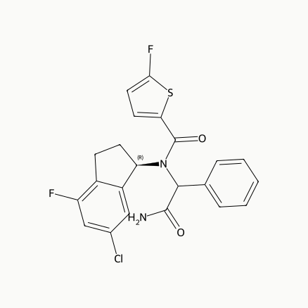 NC(=O)C(c1ccccc1)N(C(=O)c1ccc(F)s1)[C@@H]1CCc2c(F)cc(Cl)cc21